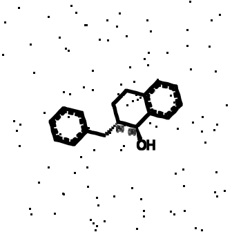 O[C@@H]1c2ccccc2CC[C@H]1Cc1ccccc1